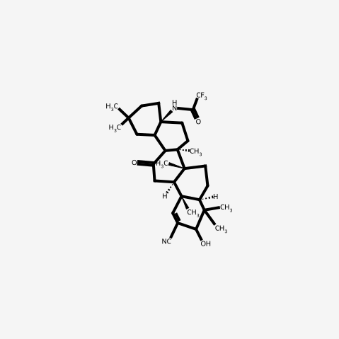 CC1(C)CC[C@]2(NC(=O)C(F)(F)F)CC[C@]3(C)C(C(=O)C[C@@H]4[C@@]5(C)C=C(C#N)C(O)C(C)(C)[C@@H]5CC[C@]43C)C2C1